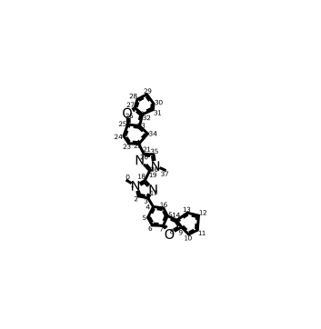 Cn1cc(-c2ccc3oc4ccccc4c3c2)nc1-c1nc(-c2ccc3oc4ccccc4c3c2)cn1C